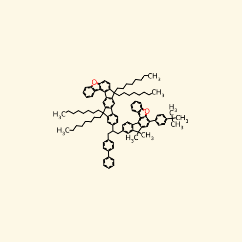 CCCCCCCCC1(CCCCCCCC)c2cc(C(Cc3ccc(-c4ccccc4)cc3)Cc3ccc4c(c3)C(C)(C)c3cc(-c5ccc(C(C)(C)C)cc5)c5oc6ccccc6c5c3-4)ccc2-c2cc3c(cc21)-c1c(ccc2oc4ccccc4c12)C3(CCCCCCCC)CCCCCCCC